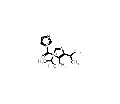 CC1=C(C(C)C)N=C[N+]1(C(=O)n1ccnc1)C(C)C